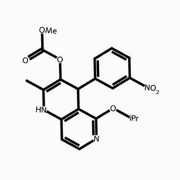 COC(=O)OC1=C(C)Nc2ccnc(OC(C)C)c2C1c1cccc([N+](=O)[O-])c1